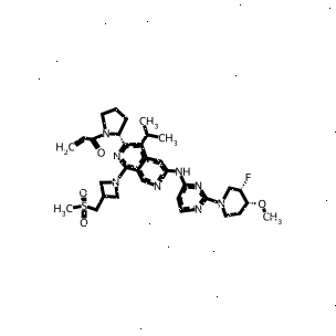 C=CC(=O)N1CCC[C@@H]1c1nc(N2CC(CS(C)(=O)=O)C2)c2cnc(Nc3ccnc(N4CC[C@@H](OC)[C@@H](F)C4)n3)cc2c1C(C)C